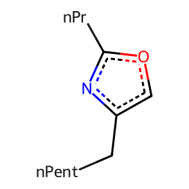 [CH2]CCc1nc(CCCCCC)co1